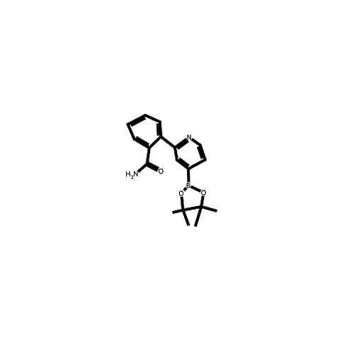 CC1(C)OB(c2ccnc(-c3ccccc3C(N)=O)c2)OC1(C)C